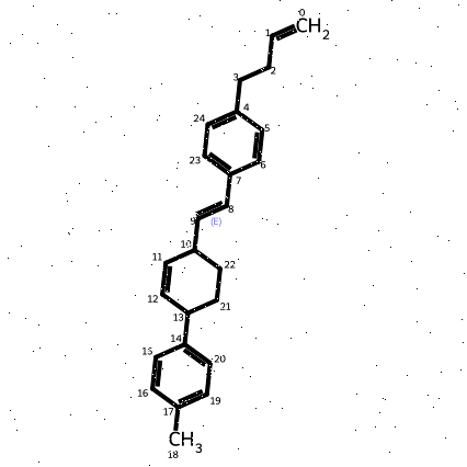 C=CCCc1ccc(/C=C/C2C=CC(c3ccc(C)cc3)CC2)cc1